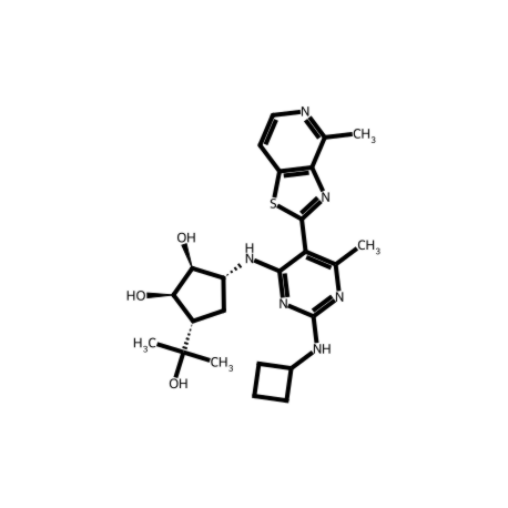 Cc1nc(NC2CCC2)nc(N[C@@H]2C[C@H](C(C)(C)O)[C@@H](O)[C@H]2O)c1-c1nc2c(C)nccc2s1